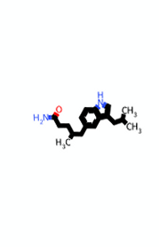 CC(C)Cc1c[nH]c2ccc(CC(C)CCC(N)=O)cc12